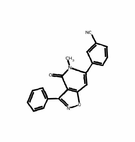 Cn1c(-c2cccc(C#N)c2)cc2onc(-c3ccccc3)c2c1=O